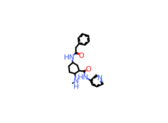 CNC1CCC(NC(=O)Cc2ccccc2)CC1C(=O)Nc1cccnc1